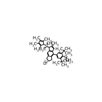 COc1c(C(C)(C)C)cc(-c2c3c(cc4c2CCC4)C([Si](C)(C)C2C(C)=C(C)C(C)=C2C)C(C)=C3)cc1C(C)(C)C.[Li].[Li]